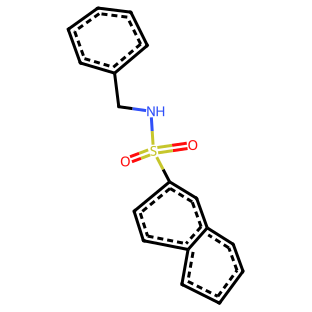 O=S(=O)(NCc1ccccc1)c1ccc2ccccc2c1